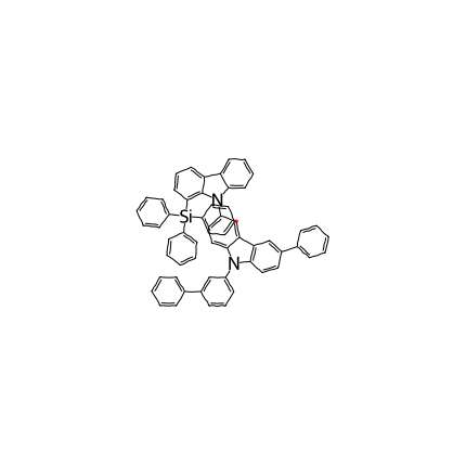 c1ccc(-c2cccc(-n3c4ccc(-c5ccccc5)cc4c4cc(-n5c6ccccc6c6cccc([Si](c7ccccc7)(c7ccccc7)c7ccccc7)c65)ccc43)c2)cc1